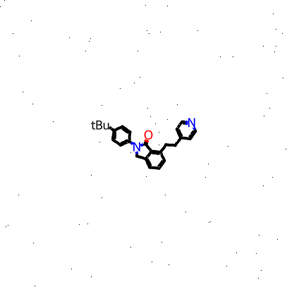 CC(C)(C)c1ccc(N2Cc3cccc(CCc4ccncc4)c3C2=O)cc1